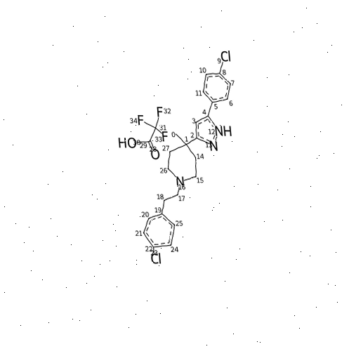 CC1(c2cc(-c3ccc(Cl)cc3)[nH]n2)CCN(CCc2ccc(Cl)cc2)CC1.O=C(O)C(F)(F)F